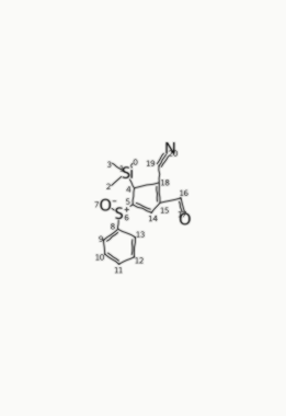 C[Si](C)(C)C1C([S+]([O-])c2ccccc2)=CC(C=O)=C1C#N